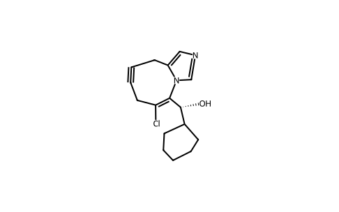 O[C@@H](/C1=C(\Cl)CC#CCc2cncn21)C1CCCCC1